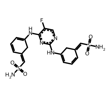 NS(=O)(=O)C=C1C=CC=C(Nc2ncc(F)c(NC3=CC=CC(=CS(N)(=O)=O)C3)n2)C1